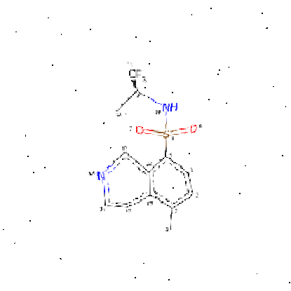 Cc1ccc(S(=O)(=O)N[C@@H](C)C(F)(F)F)c2cnccc12